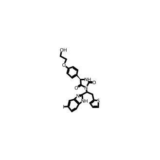 O=C1N[C@H](c2ccc(OCCO)cc2)C(=O)N1C(Cc1cccs1)c1nc2cc(I)ccc2[nH]1